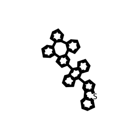 c1ccc2c(c1)-c1ccccc1-c1ccc(-c3c4ccccc4c(-c4ccc5sc6ccccc6c5c4)c4ccccc34)cc1-c1ccccc1-2